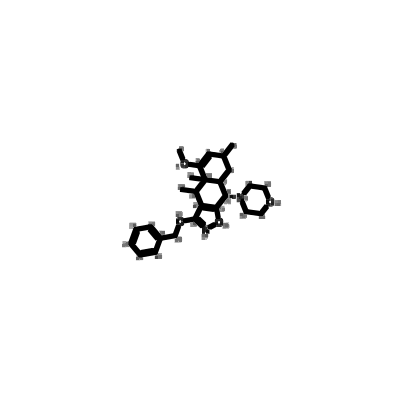 COC1=CC(C)CC2[C@H](N3CCOCC3)c3onc(OCc4ccccc4)c3C(C)C12C